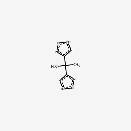 CC(C)(c1nn[nH]n1)c1nn[nH]n1